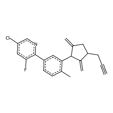 C#CCC1CC(=C)C(c2cc(-c3ncc(Cl)cc3F)ccc2C)C1=C